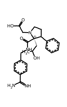 CC(O)C[C@@]1(C(=O)NCc2ccc(C(=N)N)cc2)C(c2ccccc2)CCN1CC(=O)O